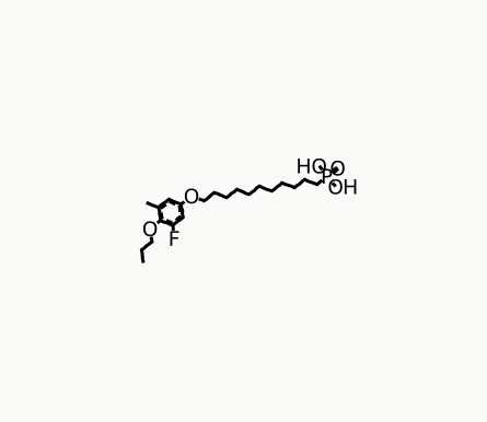 CCCOc1c(C)cc(OCCCCCCCCCCCP(=O)(O)O)cc1F